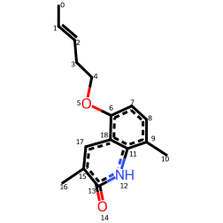 CC=CCCOc1ccc(C)c2[nH]c(=O)c(C)cc12